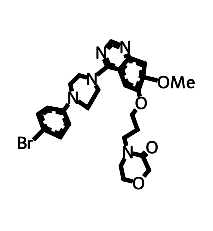 COc1cc2ncnc(N3CCN(c4ccc(Br)cc4)CC3)c2cc1OCCCN1CCOCC1=O